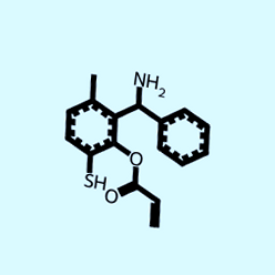 C=CC(=O)Oc1c(S)ccc(C)c1C(N)c1ccccc1